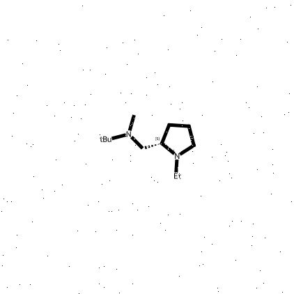 CCN1CCC[C@H]1CN(C)C(C)(C)C